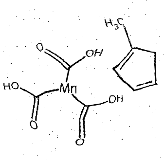 CC1=CC=CC1.O=[C](O)[Mn]([C](=O)O)[C](=O)O